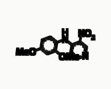 COc1ccc(Nc2ccncc2[N+](=O)[O-])c(OC)c1